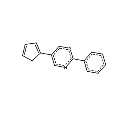 C1=CCC(c2cnc(-c3ccccc3)nc2)=C1